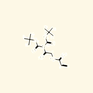 C=CC(=O)OCC(=O)N(C(=O)OC(C)(C)C)C(=O)OC(C)(C)C